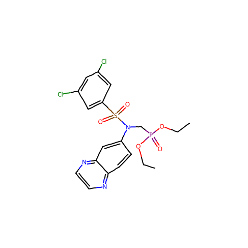 CCOP(=O)(CN(c1ccc2nccnc2c1)S(=O)(=O)c1cc(Cl)cc(Cl)c1)OCC